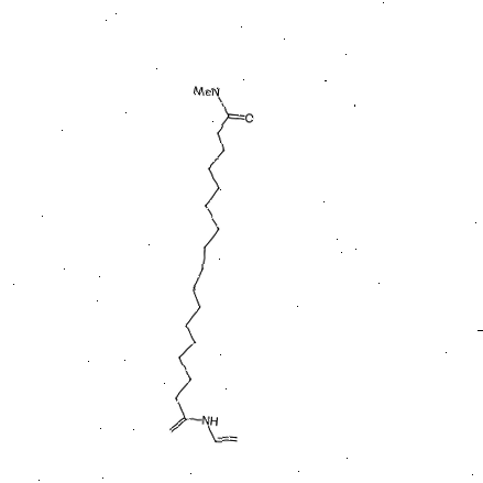 C=CNC(=C)CCCCCCCCCCCCCCCC(=O)NC